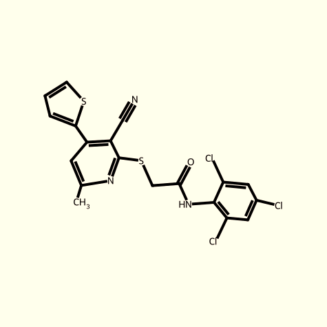 Cc1cc(-c2cccs2)c(C#N)c(SCC(=O)Nc2c(Cl)cc(Cl)cc2Cl)n1